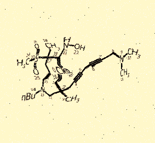 C=CC(C)(C#CC#CCN(C)C)CN(CCCC)CCC(C)(C(=O)NO)S(C)(=O)=O